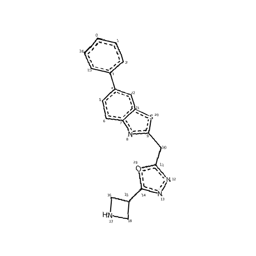 c1ccc(-c2ccc3nc(Cc4nnc(C5CNC5)o4)sc3c2)cc1